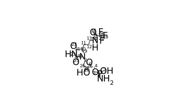 NP(O)OC[C@H]1O[C@@H](n2cc(CCCNC(=O)C(F)(F)F)c(=O)[nH]c2=O)C[C@@H]1O